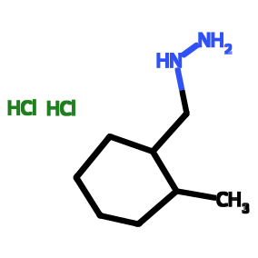 CC1CCCCC1CNN.Cl.Cl